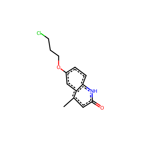 Cc1cc(=O)[nH]c2ccc(OCCCCl)cc12